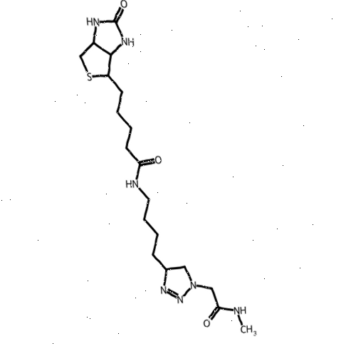 CNC(=O)CN1CC(CCCCNC(=O)CCCCC2SCC3NC(=O)NC32)N=N1